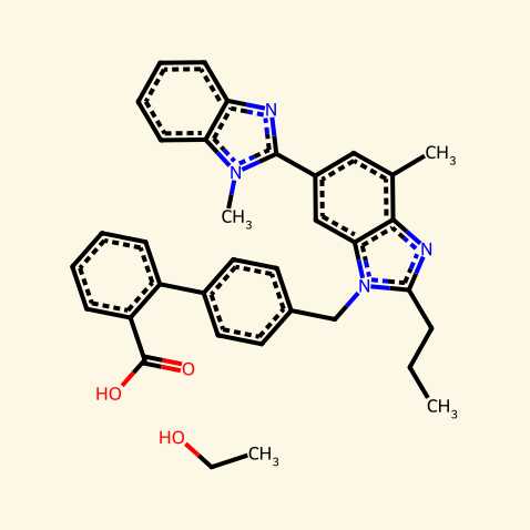 CCCc1nc2c(C)cc(-c3nc4ccccc4n3C)cc2n1Cc1ccc(-c2ccccc2C(=O)O)cc1.CCO